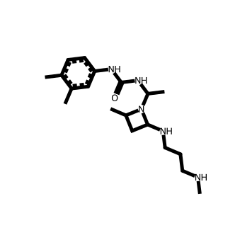 CNCCCNC1CC(C)N1C(C)NC(=O)Nc1ccc(C)c(C)c1